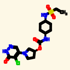 CCS(=O)(=O)N[C@H]1CC[C@H](NC(=O)O[C@@H]2CCN(c3cn[nH]c(=O)c3Cl)C2)CC1